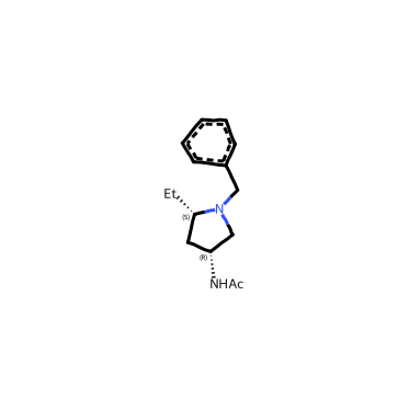 CC[C@H]1C[C@@H](NC(C)=O)CN1Cc1ccccc1